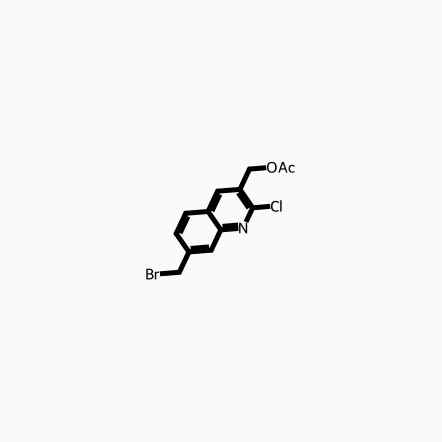 CC(=O)OCc1cc2ccc(CBr)cc2nc1Cl